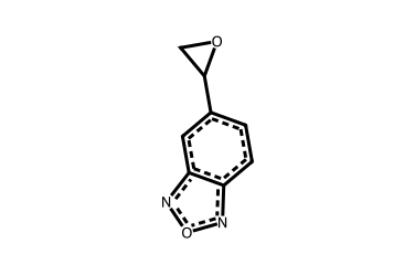 c1cc2nonc2cc1C1CO1